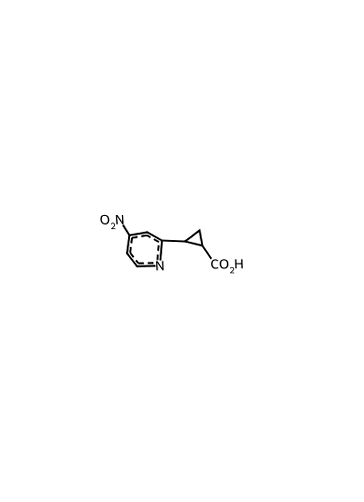 O=C(O)C1CC1c1cc([N+](=O)[O-])ccn1